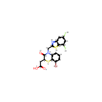 O=C(O)CC1Sc2c(Br)cccc2N(Cc2nc3cc(F)cc(F)c3s2)C1=O